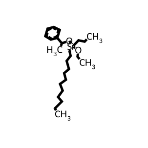 CCCCCCCCCCCC[Si](CCC)(OCC)OC(C)c1ccccc1